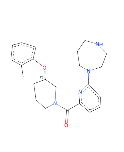 Cc1ccccc1O[C@H]1CCCN(C(=O)c2cccc(N3CCCNCC3)n2)C1